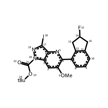 COc1cc2c(nc1-c1cccc3c1CC(F)C3)c(I)nn2C(=O)OC(C)(C)C